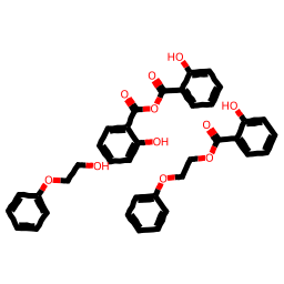 O=C(OC(=O)c1ccccc1O)c1ccccc1O.O=C(OCCOc1ccccc1)c1ccccc1O.OCCOc1ccccc1